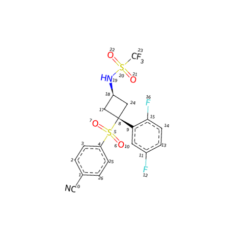 N#Cc1ccc(S(=O)(=O)[C@]2(c3cc(F)ccc3F)C[C@@H](NS(=O)(=O)C(F)(F)F)C2)cc1